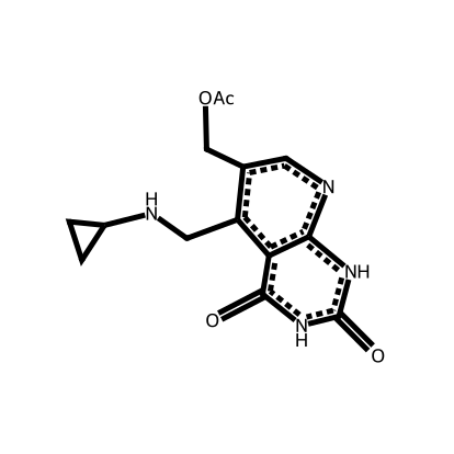 CC(=O)OCc1cnc2[nH]c(=O)[nH]c(=O)c2c1CNC1CC1